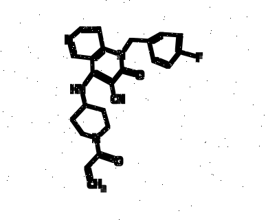 C=CC(=O)N1CCC(Nc2c(C#N)c(=O)n(Cc3ccc(F)cc3)c3ccncc23)CC1